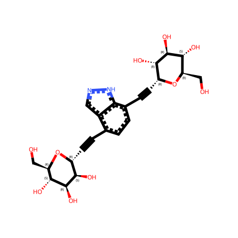 OC[C@H]1O[C@H](C#Cc2ccc(C#C[C@H]3O[C@H](CO)[C@@H](O)[C@H](O)[C@@H]3O)c3cn[nH]c23)[C@H](O)[C@@H](O)[C@@H]1O